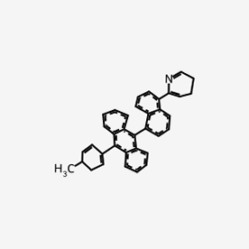 CC1C=CC(c2c3ccccc3c(-c3cccc4c(C5=CCCC=N5)cccc34)c3ccccc23)=CC1